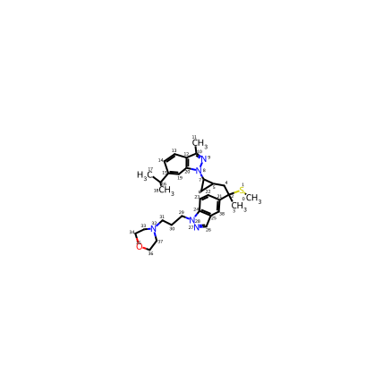 CSC(C)(CC1CC1n1nc(C)c2ccc(C(C)C)cc21)c1ccc2c(cnn2CCCN2CCOCC2)c1